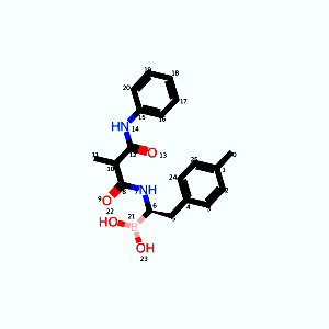 Cc1ccc(C[C@H](NC(=O)C(C)C(=O)Nc2ccccc2)B(O)O)cc1